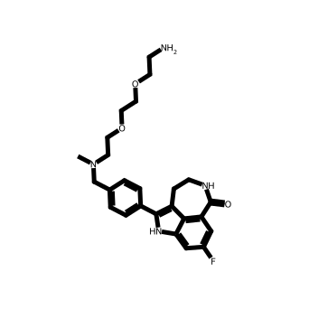 CN(CCOCCOCCN)Cc1ccc(-c2[nH]c3cc(F)cc4c3c2CCNC4=O)cc1